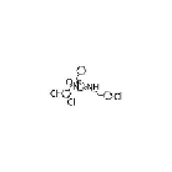 O=C(c1cc(Cl)cc(Cl)c1)N1CC[C@H](NCCCc2ccc(Cl)cc2)C[C@@H]1Cc1ccccc1